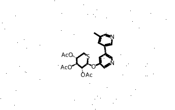 CC(=O)O[C@@H]1[C@@H](OC(C)=O)[C@H](OC(C)=O)CS[C@H]1Oc1cncc(-c2cncc(C)c2)c1